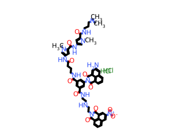 CN(C)CCCNC(=O)c1cc(NC(=O)c2cc(NC(=O)CCCNC(=O)c3cc(C(=O)NCCNCCN4C(=O)c5cccc6cc([N+](=O)[O-])cc(c56)C4=O)cc(N4C(=O)c5cccc6cc(N)cc(c56)C4=O)c3)cn2C)cn1C.Cl.Cl